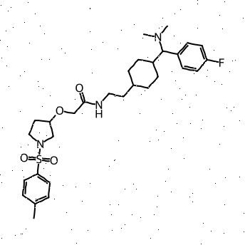 Cc1ccc(S(=O)(=O)N2CCC(OCC(=O)NCCC3CCC(C(c4ccc(F)cc4)N(C)C)CC3)C2)cc1